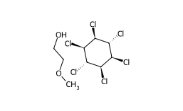 COCCO.Cl[C@H]1[C@H](Cl)[C@@H](Cl)[C@@H](Cl)[C@H](Cl)[C@H]1Cl